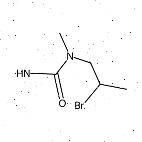 CC(Br)CN(C)C([NH])=O